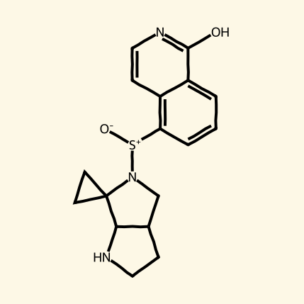 [O-][S+](c1cccc2c(O)nccc12)N1CC2CCNC2C12CC2